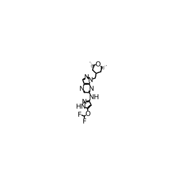 C[C@@H]1CC(Cn2ncc3ncc(Nc4cc(OC(F)F)[nH]n4)nc32)C[C@H](C)O1